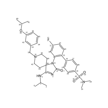 CC(C)NC1=NC(=O)N(c2cc(F)ccc2-c2ccc(S(=O)(=O)N(C)C)cc2)C12CCN(Cc1cccc(OC(C)C)c1)CC2